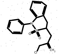 C=C(CCl)CC1Cc2ccccc2N(c2ccccc2)S1(=O)=O